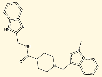 Cn1cc(CN2CCC(C(=O)NCc3nc4ccccc4[nH]3)CC2)c2ccccc21